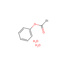 CCC(=O)Oc1ccccc1.O.O